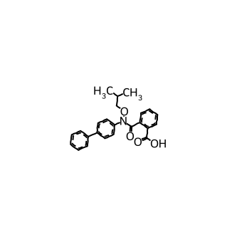 CC(C)CON(C(=O)c1ccccc1C(=O)O)c1ccc(-c2ccccc2)cc1